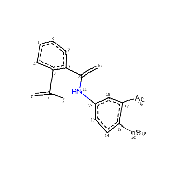 C=C(C)c1ccccc1C(=C)Nc1ccc(CCCC)c(C(C)=O)c1